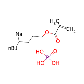 C=C(C)C(=O)OCCC[CH]([Na])CCCC.O=P(O)(O)O